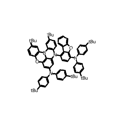 CC(C)(C)c1ccc(N(c2ccc(C(C)(C)C)cc2)c2cc3c4c(c2)N(c2ccc(N(c5ccc(C(C)(C)C)cc5)c5ccc(C(C)(C)C)cc5)c5oc6ccccc6c25)c2ccc(C(C)(C)C)cc2B4c2cc(C(C)(C)C)ccc2O3)cc1